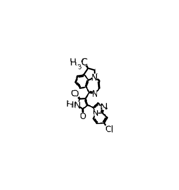 CC1CN2C=CN=C(C3=C(c4cnc5cc(Cl)ccn45)C(=O)NC3=O)c3cccc1c32